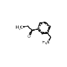 CCC(=O)c1cccc(CN)c1